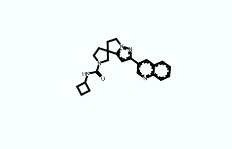 O=C(NC1CCC1)N1CCC2(CCn3nc(-c4cnc5ccccc5c4)cc32)C1